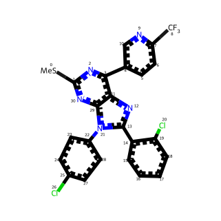 CSc1nc(-c2ccc(C(F)(F)F)nc2)c2nc(-c3ccccc3Cl)n(-c3ccc(Cl)cc3)c2n1